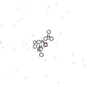 c1ccc(-c2cc(-c3ccccc3)nc(-c3cccc4oc5ccc(-n6c7ccccc7c7c8c9ccccc9n(-c9ccccc9)c8ccc76)cc5c34)n2)cc1